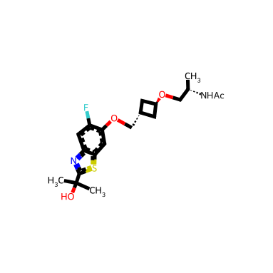 CC(=O)N[C@@H](C)CO[C@H]1C[C@H](COc2cc3sc(C(C)(C)O)nc3cc2F)C1